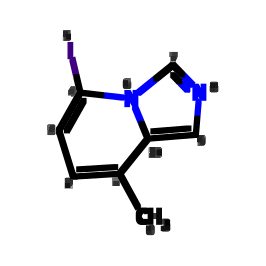 Cc1ccc(I)n2cncc12